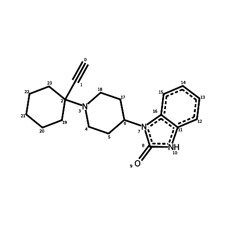 C#CC1(N2CCC(n3c(=O)[nH]c4ccccc43)CC2)CCCCC1